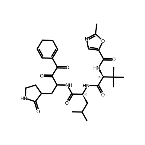 Cc1ncc(C(=O)N[C@H](C(=O)N[C@@H](CC(C)C)C(=O)NC(CC2CCNC2=O)C(=O)C(=O)C2=CCCC=C2)C(C)(C)C)o1